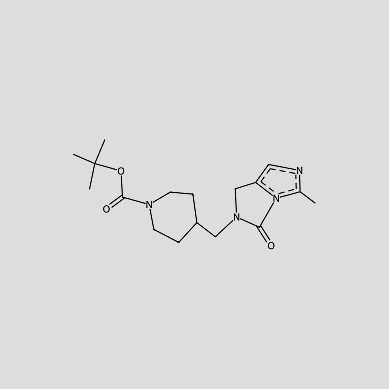 Cc1ncc2n1C(=O)N(CC1CCN(C(=O)OC(C)(C)C)CC1)C2